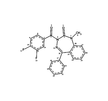 CN1C(=O)N(C(=O)c2ccc(F)c(F)c2)N=C(c2ccccc2)c2ccccc21